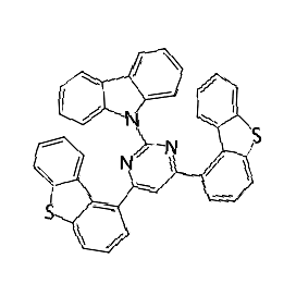 c1ccc2c(c1)sc1cccc(-c3cc(-c4cccc5sc6ccccc6c45)nc(-n4c5ccccc5c5ccccc54)n3)c12